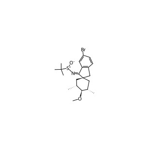 CO[C@H]1[C@H](C)C[C@@]2(Cc3ccc(Br)cc3/C2=N\[S+]([O-])C(C)(C)C)C[C@@H]1C